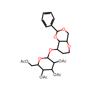 CC(=O)OCC1OC(OC2CCOC3COC(c4ccccc4)OC32)C(OC(C)=O)C(OC(C)=O)C1OC(C)=O